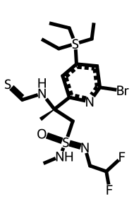 CCS(CC)(CC)c1cc(Br)nc([C@](C)(CS(=O)(=NCC(F)F)NC)NC=S)c1